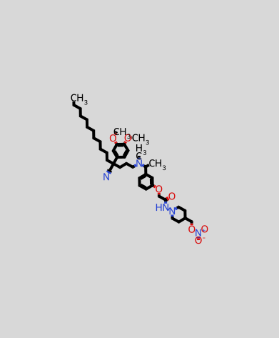 CCCCCCCCCCCCC(C#N)(CCCN(C)C(C)c1cccc(OCC(=O)NN2CCC(CO[N+](=O)[O-])CC2)c1)c1ccc(OC)c(OC)c1